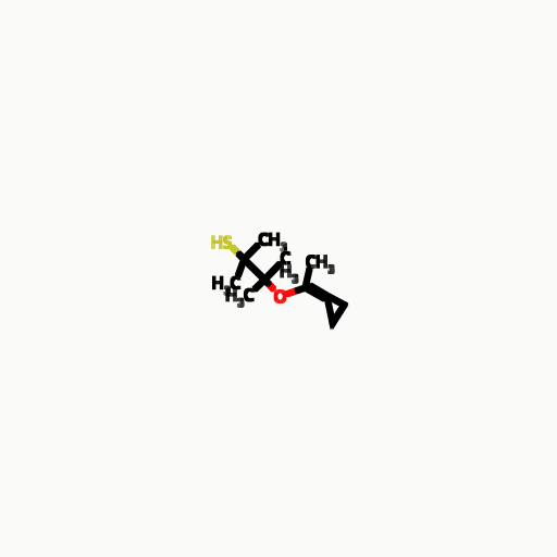 CC(OC(C)(C)C(C)(C)S)=C1CC1